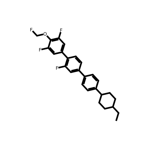 CCC1CCC(c2ccc(-c3ccc(-c4cc(F)c(OCF)c(F)c4)c(F)c3)cc2)CC1